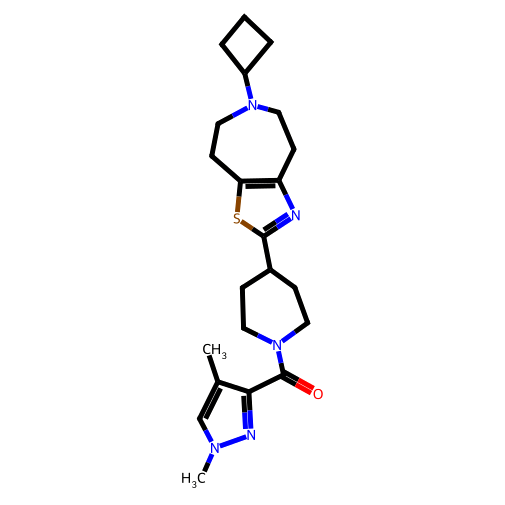 Cc1cn(C)nc1C(=O)N1CCC(c2nc3c(s2)CCN(C2CCC2)CC3)CC1